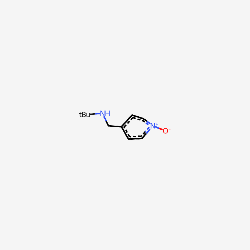 CC(C)(C)NCc1cc[n+]([O-])cc1